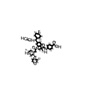 C[C@@H]1CN(CC(=O)N2CC(C)(C(=O)Nc3ccc(C(=O)O)cc3)c3ccc(Cc4ccc(F)cc4)cc32)[C@@H](CN2CCOC[C@H]2C)CN1.Cl.Cl